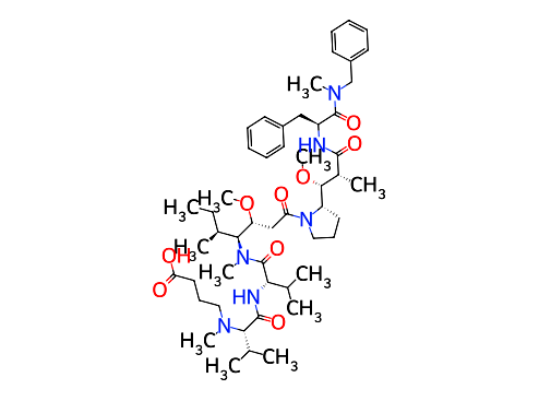 CC[C@H](C)[C@@H]([C@@H](CC(=O)N1CCC[C@H]1[C@H](OC)[C@@H](C)C(=O)N[C@@H](Cc1ccccc1)C(=O)N(C)Cc1ccccc1)OC)N(C)C(=O)[C@@H](NC(=O)[C@H](C(C)C)N(C)CCCC(=O)O)C(C)C